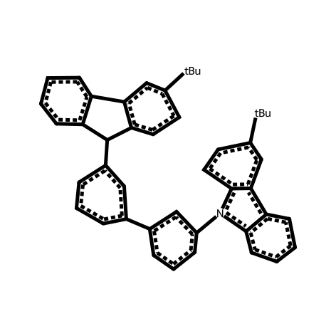 CC(C)(C)c1ccc2c(c1)-c1ccccc1C2c1cccc(-c2cccc(-n3c4ccccc4c4cc(C(C)(C)C)ccc43)c2)c1